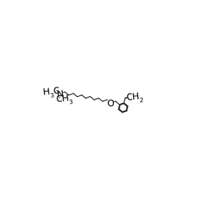 C=Cc1ccccc1COCCCCCCCCCCCN(C)C